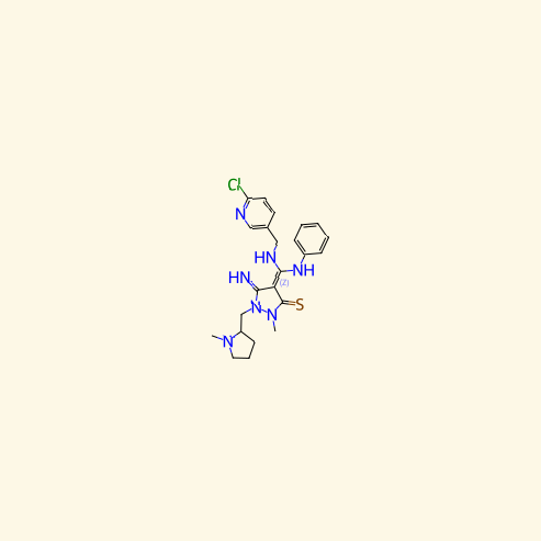 CN1CCCC1CN1C(=N)/C(=C(\NCc2ccc(Cl)nc2)Nc2ccccc2)C(=S)N1C